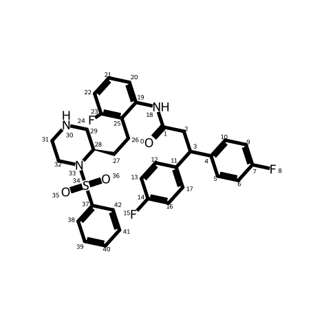 O=C(CC(c1ccc(F)cc1)c1ccc(F)cc1)Nc1cccc(F)c1CC[C@@H]1CNCCN1S(=O)(=O)c1ccccc1